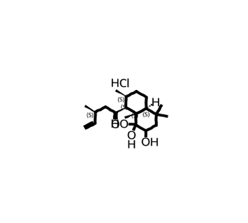 C=C[C@@H](C)CC(=O)[C@H]1[C@@H](C)CC[C@H]2C(C)(C)CC(O)C(O)(O)[C@]12C.Cl